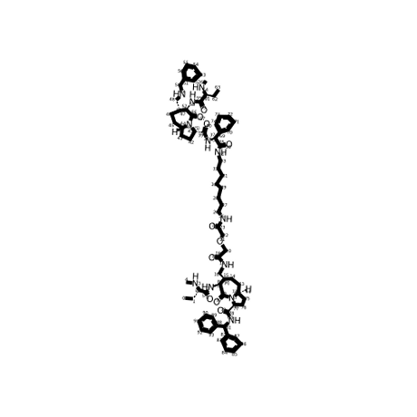 CC[C@H](NC)C(=O)N[C@@H]1C(=O)N2[C@@H](CC[C@@H]1CNC(=O)COCC(=O)NCCCCCCCCNC(=O)[C@@H](NC(=O)[C@@H]1CC[C@@H]3CC[C@H](CNCc4ccccc4)[C@H](NC(=O)[C@H](CC)NC)C(=O)N31)c1ccccc1)CC[C@H]2C(=O)NC(c1ccccc1)c1ccccc1